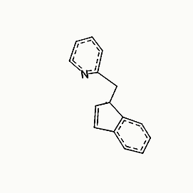 C1=Cc2ccccc2[C]1Cc1ccccn1